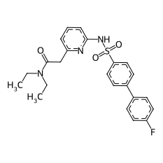 CCN(CC)C(=O)Cc1cccc(NS(=O)(=O)c2ccc(-c3ccc(F)cc3)cc2)n1